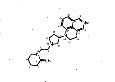 O=C1CCCCN1CCN1CCC(N2CCc3cncc4cccc2c34)C1